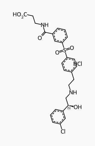 Cl.O=C(O)CCNC(=O)c1cccc(S(=O)(=O)c2ccc(CCNC[C@@H](O)c3cccc(Cl)c3)cc2)c1